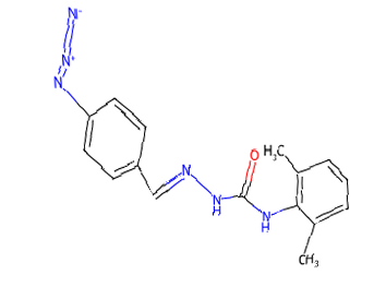 Cc1cccc(C)c1NC(=O)N/N=C/c1ccc(N=[N+]=[N-])cc1